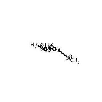 C=CC(=O)OCCCCCCOc1ccc(C(=O)Oc2ccc(OC(=O)C=C)cc2)c(C)c1